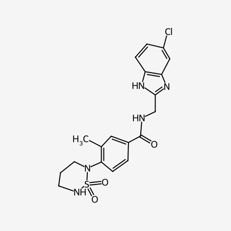 Cc1cc(C(=O)NCc2nc3cc(Cl)ccc3[nH]2)ccc1N1CCCNS1(=O)=O